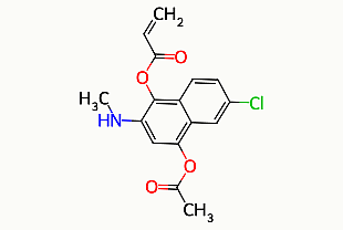 C=CC(=O)Oc1c(NC)cc(OC(C)=O)c2cc(Cl)ccc12